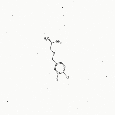 C[C@@H](N)COCc1ccc(Cl)c(Cl)c1